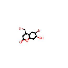 O=c1cc(CBr)c2cc(Br)c(O)cc2o1